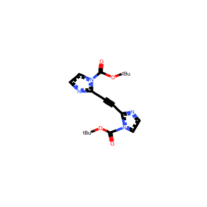 CC(C)(C)OC(=O)n1ccnc1C#Cc1nccn1C(=O)OC(C)(C)C